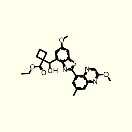 CCOC(=O)C1(C(O)c2cc(OC)cc3sc(-c4cc(C)cc5nc(OC)cnc45)nc23)CCC1